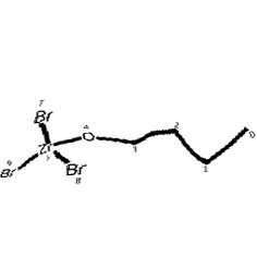 CCCC[O][Zr]([Br])([Br])[Br]